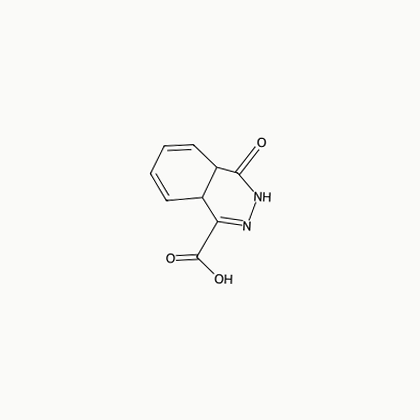 O=C(O)C1=NNC(=O)C2C=CC=CC12